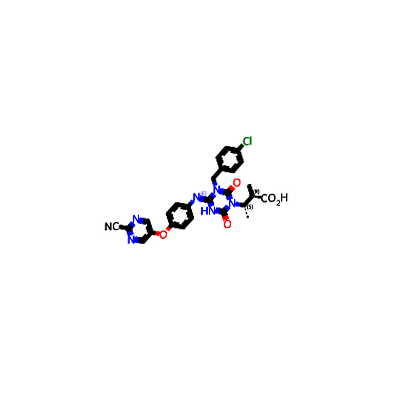 C[C@@H](C(=O)O)[C@H](C)n1c(=O)[nH]/c(=N\c2ccc(Oc3cnc(C#N)nc3)cc2)n(Cc2ccc(Cl)cc2)c1=O